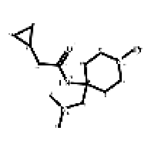 CC(C)N1CCC(CN(C)C)(NC(=O)CC2CC2)CC1